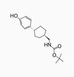 CC(C)(C)OC(=O)NC[C@H]1CC[C@H](c2ccc(O)cc2)CC1